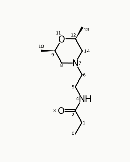 CCC(=O)NCCN1C[C@@H](C)O[C@@H](C)C1